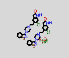 Cl.Cl.O.O=C1Cc2cc(CCN3CCN(c4nsc5ccccc45)CC3)c(Cl)cc2N1.O=C1Cc2cc(CCN3CCN(c4nsc5ccccc45)CC3)c(Cl)cc2N1